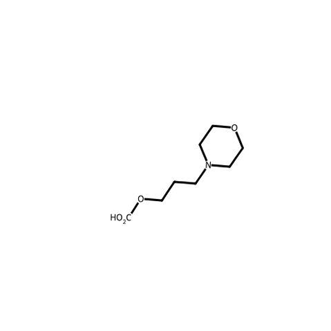 O=C(O)OCCCN1CCOCC1